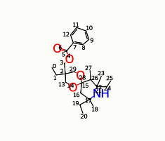 CCC1(COC(=O)c2ccccc2)COC2(CC(C)(CC)NC(C)(CC)C2C)OC1